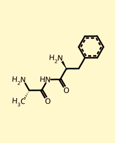 C[C@H](N)C(=O)NC(=O)[C@@H](N)Cc1ccccc1